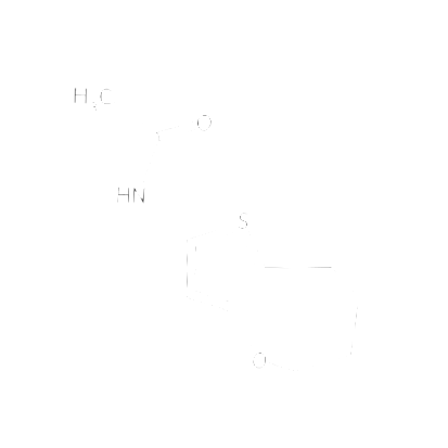 CC(=O)Nc1cc2c(s1)CCCCO2